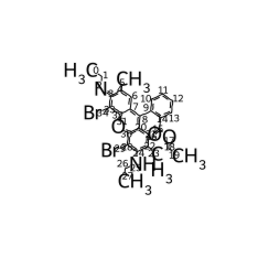 CC/N=c1\c(C)cc2c(-c3ccccc3C(=O)OCC)c3cc(C)c(NCC)c(Br)c3oc-2c1Br